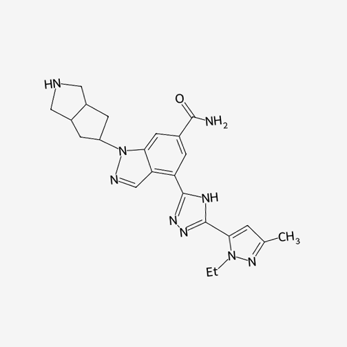 CCn1nc(C)cc1-c1nnc(-c2cc(C(N)=O)cc3c2cnn3C2CC3CNCC3C2)[nH]1